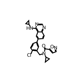 O=C(c1ccno1)N(Cc1cc(-c2ccc3ncnc(NC4CC4)c3c2)ccc1Cl)C1CC1